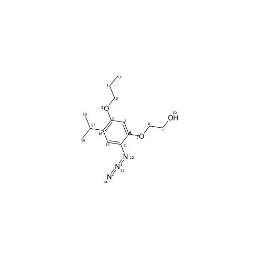 CCCOc1cc(OCCO)c(N=[N+]=[N-])cc1C(C)C